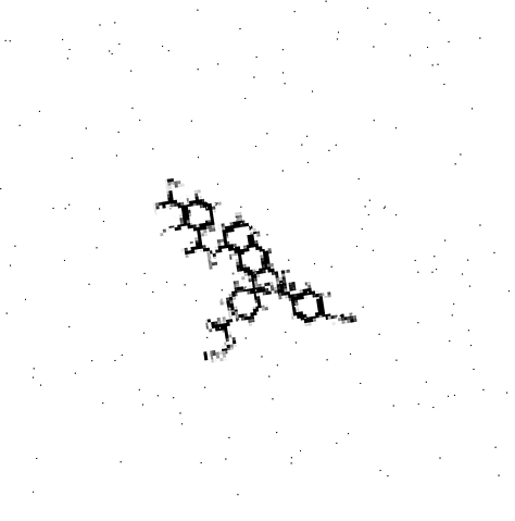 COc1ccc(COc2cc3nccc(NC(C)c4cccc(C(F)F)c4F)c3cc2C2(OC)CCN(C(=O)OC(C)(C)C)CC2)cc1